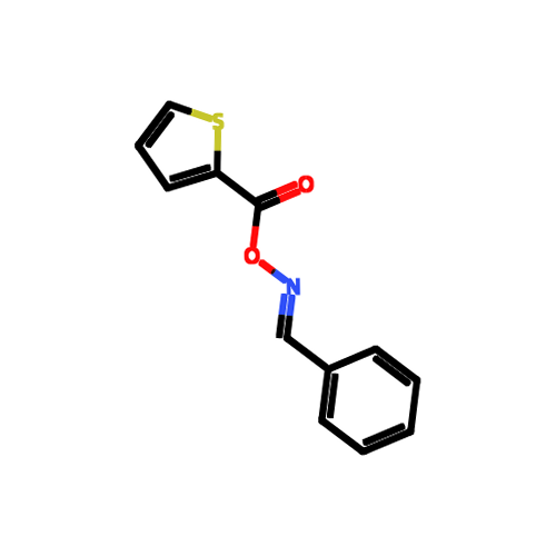 O=C(O/N=C/c1ccccc1)c1cccs1